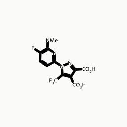 CNc1nc(-n2nc(C(=O)O)c(C(=O)O)c2C(F)(F)F)ccc1F